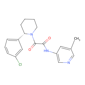 Cc1cncc(NC(=O)C(=O)N2CCCC[C@H]2c2cccc(Cl)c2)c1